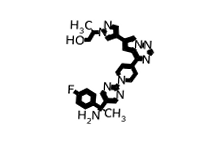 C[C@@H](CO)n1cc(-c2cc3c(C4=CCN(c5ncc([C@@](C)(N)c6ccc(F)cc6)cn5)CC4)ncnn3c2)cn1